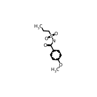 CCCS(=O)(=O)[N]C(=O)c1ccc(OC)cc1